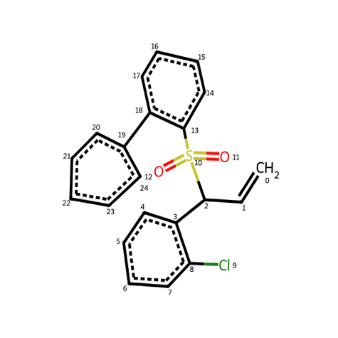 C=CC(c1ccccc1Cl)S(=O)(=O)c1ccccc1-c1ccccc1